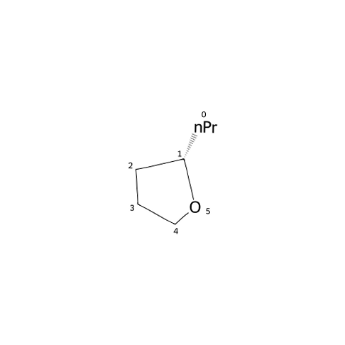 CCC[C@H]1CCCO1